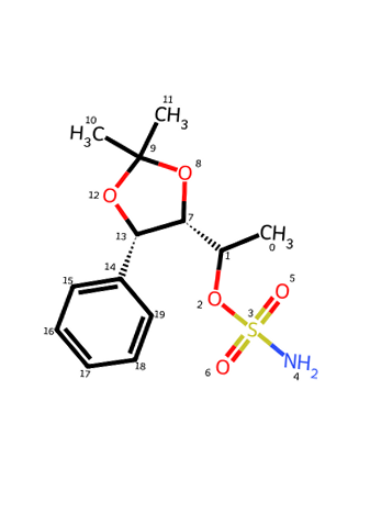 CC(OS(N)(=O)=O)[C@H]1OC(C)(C)O[C@H]1c1ccccc1